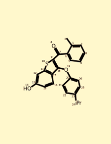 Cc1ccccc1C(=O)c1sc2cc(O)ccc2c1Oc1ccc(C(C)C)cc1